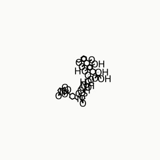 COc1cccc2c1C(=O)c1c(O)c3c(c(O)c1C2=O)C[C@@](O)(C(=O)CO)C[C@@H]3O[C@H]1C[C@H]2[C@H](O[C@@H]3C(SC4CC(=O)N(CC5CCC(C(=O)ON6C(=O)CCC6=O)CC5)C4=O)OCCN32)[C@H](C)O1